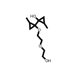 CC1CC1(O)C1(OCCOCCO)CC1C